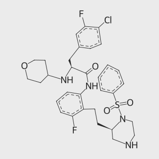 O=C(Nc1cccc(F)c1CC[C@@H]1CNCCN1S(=O)(=O)c1ccccc1)[C@H](Cc1ccc(Cl)c(F)c1)NC1CCOCC1